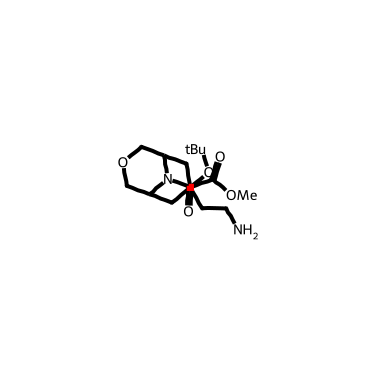 COC(=O)C1(CCN)CC2COCC(C1)N2C(=O)OC(C)(C)C